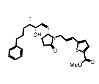 COC(=O)c1ccc(C=CCN2C(=O)CC[C@@H]2/C=C\[C@H](O)[C@@H](C)CCCc2ccccc2)s1